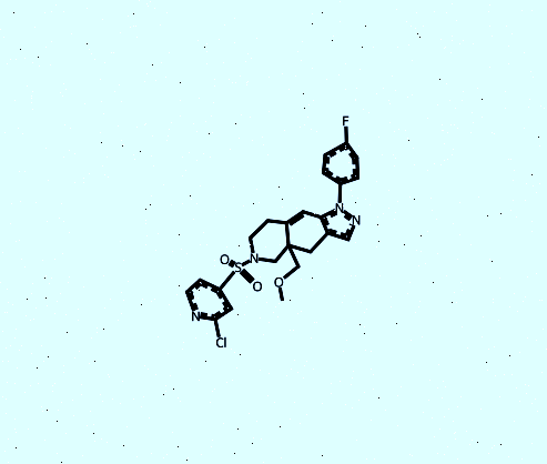 COCC12Cc3cnn(-c4ccc(F)cc4)c3C=C1CCN(S(=O)(=O)c1ccnc(Cl)c1)C2